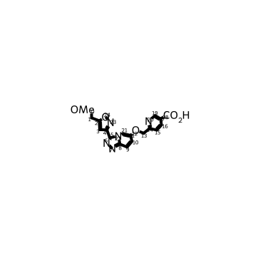 COCc1cc(-c2nnc3ccc(OCc4ccc(C(=O)O)cn4)cn23)no1